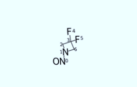 O=NN1CC(F)(F)C1